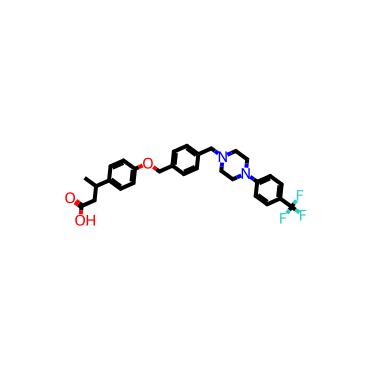 CC(CC(=O)O)c1ccc(OCc2ccc(CN3CCN(c4ccc(C(F)(F)F)cc4)CC3)cc2)cc1